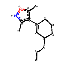 CCCC1C=C(c2c(C)noc2C)CCC1